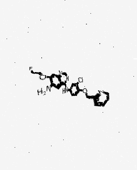 Nc1cc2c(Nc3ccc(OCc4ccccn4)c(Cl)c3)ncnc2cc1OCCF